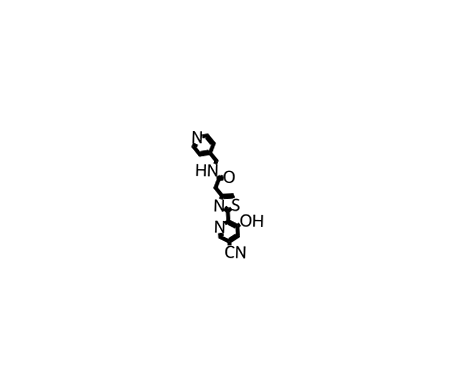 N#Cc1cnc(-c2nc(CC(=O)NCc3ccncc3)cs2)c(O)c1